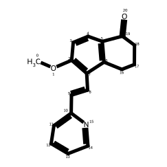 COc1ccc2c(c1C=Cc1ccccn1)CCCC2=O